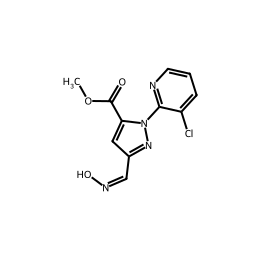 COC(=O)c1cc(/C=N\O)nn1-c1ncccc1Cl